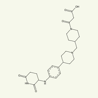 O=C(O)CC(=O)N1CCC(CN2CCC(c3ccc(NC4CCC(=O)NC4=O)cc3)CC2)CC1